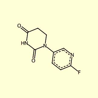 O=C1CCN(c2ccc(F)nc2)C(=O)N1